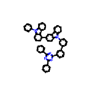 c1ccc(-c2nc(-c3ccccc3)nc(-c3cccc(-c4cccc(-n5c6ccccc6c6cc(-c7cccc8c7c7ccccc7n8-c7ccccc7)ccc65)c4)c3)n2)cc1